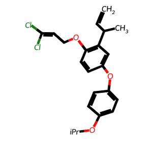 C=CC(C)c1cc(Oc2ccc(OC(C)C)cc2)ccc1OCC=C(Cl)Cl